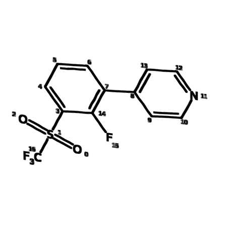 O=S(=O)(c1cccc(-c2ccncc2)c1F)C(F)(F)F